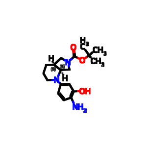 CC(C)(C)OC(=O)N1C[C@@H]2CCCN(c3ccc(N)c(O)c3)[C@@H]2C1